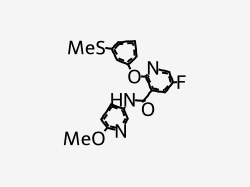 COc1ccc(NC(=O)c2cc(F)cnc2Oc2cccc(SC)c2)cn1